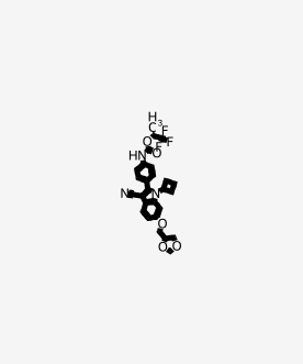 C[C@@H](OC(=O)Nc1ccc(-c2c(C#N)c3ccc(OCC4COCO4)cc3n2C2CCC2)cc1)C(F)(F)F